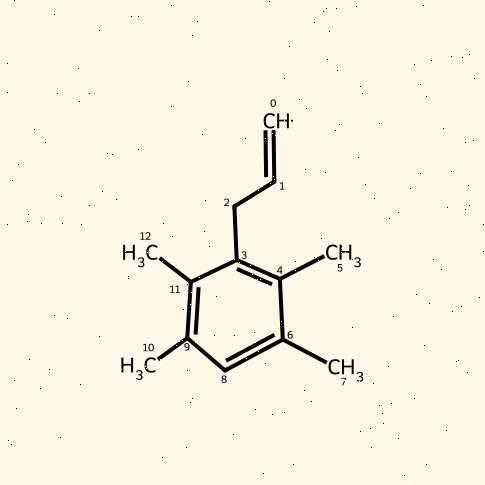 [CH]=CCc1c(C)c(C)cc(C)c1C